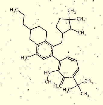 C=C1C(C(C)(C)C)=CC=CC(c2cc(C)c3c(c2CC2CCC(C)(C)C2C)CCC(CCC)C3)=C1NC